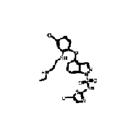 CCNCCNc1cc(Cl)ccc1Oc1cccc2c1cnn2S(=O)(=O)Nc1ncc(Cl)s1